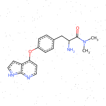 CN(C)C(=O)C(N)Cc1ccc(Oc2ccnc3[nH]ccc23)cc1